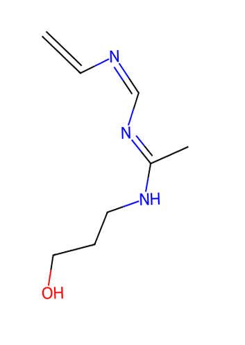 C=C/N=C\N=C(/C)NCCCO